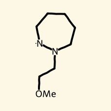 COCCN1CCCCC[N]1